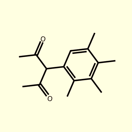 CC(=O)C(C(C)=O)c1cc(C)c(C)c(C)c1C